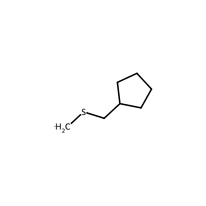 [CH2]SCC1CCCC1